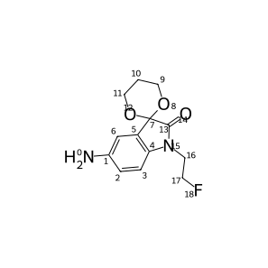 Nc1ccc2c(c1)C1(OCCCO1)C(=O)N2CCF